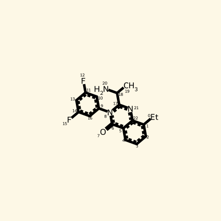 CCc1cccc2c(=O)n(-c3cc(F)cc(F)c3)c(C(C)N)nc12